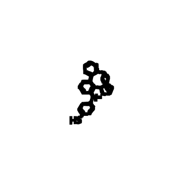 CN(c1ccc(S)cc1)c1cccc2c1C1CC3CC(CC1C3)c1ccccc1-2